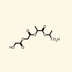 CC(OC(=O)C(C)OC(=O)COC(=O)CO)C(=O)O